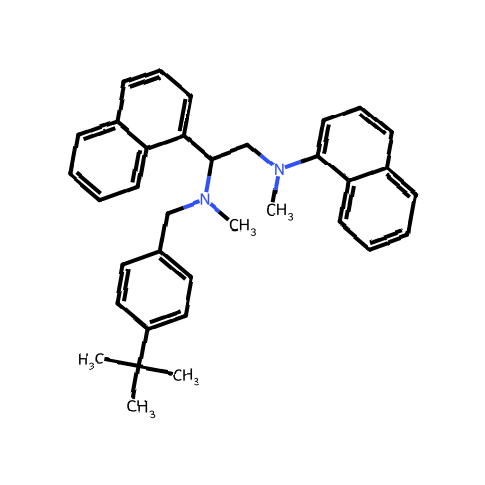 CN(CC(c1cccc2ccccc12)N(C)Cc1ccc(C(C)(C)C)cc1)c1cccc2ccccc12